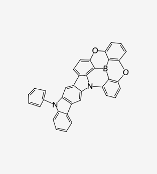 c1ccc(-n2c3ccccc3c3cc4c(cc32)c2ccc3c5c2n4-c2cccc4c2B5c2c(cccc2O3)O4)cc1